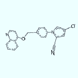 N#Cc1cc(Cl)cn1-c1ccc(COc2ccnc3ccccc23)cc1